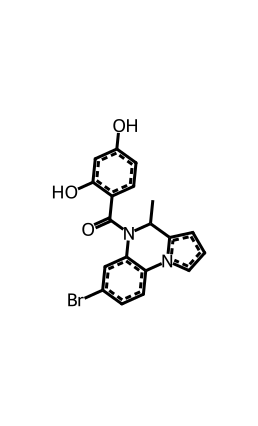 CC1c2cccn2-c2ccc(Br)cc2N1C(=O)c1ccc(O)cc1O